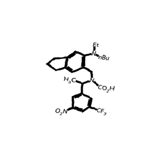 CCCCN(CC)c1cc2c(cc1CN(C(=O)O)C(C)c1cc([N+](=O)[O-])cc(C(F)(F)F)c1)CCC2